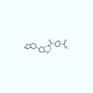 O=C(c1ccc(C(=O)C(F)(F)F)cc1)N1CCOc2ccc(-c3ccc4oncc4c3)cc2C1